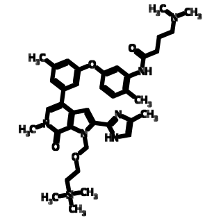 Cc1cc(Oc2ccc(C)c(NC(=O)CCCN(C)C)c2)cc(-c2cn(C)c(=O)c3c2cc(-c2nc(C)c[nH]2)n3COCC[Si](C)(C)C)c1